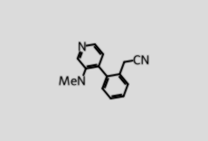 CNc1cnccc1-c1ccccc1CC#N